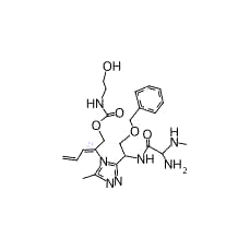 C=C/C=C(/COC(=O)NCCO)n1c(C)nnc1C(COCc1ccccc1)NC(=O)C(N)NC